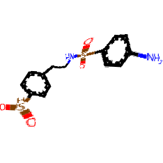 Nc1ccc(S(=O)(=O)NCCc2ccc([SH](=O)=O)cc2)cc1